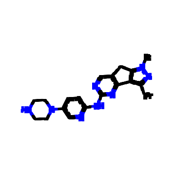 CCn1nc(C(C)C)c2c1Cc1cnc(Nc3ccc(N4CCNCC4)cn3)nc1-2